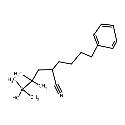 CC(C)(CC(C#N)CCCCc1ccccc1)[Si](C)(C)O